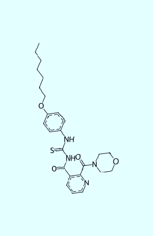 CCCCCCCOc1ccc(NC(=S)NC(=O)c2cccnc2C(=O)N2CCOCC2)cc1